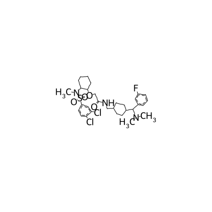 CN(C)C(c1cccc(F)c1)C1CCC(CNC(=O)COC2CCCCC2N(C)S(=O)(=O)c2ccc(Cl)c(Cl)c2)CC1